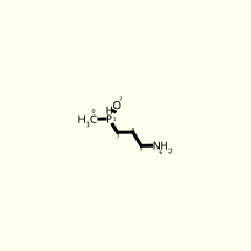 C[PH](=O)CCCN